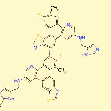 CCc1ncc(CNc2cnc(-c3cc(C)c(F)c(-c4cc(-c5cc(NCc6cnc[nH]6)cnc5-c5ccc(F)c(C)c5)cc5scnc45)c3)c(-c3ccc4ncsc4c3)c2)[nH]1